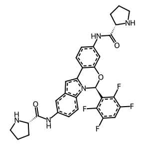 O=C(Nc1ccc2c(c1)O[C@@H](c1c(F)c(F)cc(F)c1F)n1c-2cc2cc(NC(=O)[C@@H]3CCCN3)ccc21)[C@@H]1CCCN1